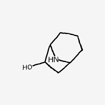 OC1CC2CCCC1N2